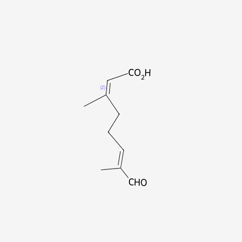 CC(C=O)=CCC/C(C)=C\C(=O)O